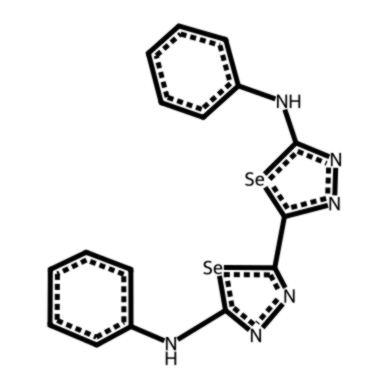 c1ccc(Nc2nnc(-c3nnc(Nc4ccccc4)[se]3)[se]2)cc1